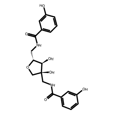 O=C(NC[C@H]1OC[C@@](O)(CNC(=O)c2cccc(O)c2)[C@@H]1O)c1cccc(O)c1